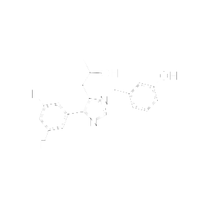 CC(O)Cc1c(-c2cc(F)cc(F)c2)ncn1Cc1cccc(O)c1